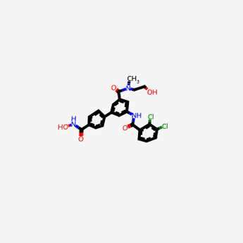 CN(CCO)C(=O)c1cc(NC(=O)c2cccc(Cl)c2Cl)cc(-c2ccc(C(=O)NO)cc2)c1